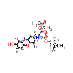 C[Si](C)(C)CCOC(=O)N[C@@H](Cc1cc(I)c(Oc2cc(I)c(O)c(I)c2)c(I)c1)C(=O)OP(C)(C)=O